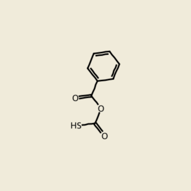 O=C(S)OC(=O)c1ccccc1